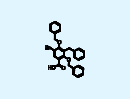 O=C(O)c1cc(Br)c(OCc2ccccc2)c(Cc2ccccc2)c1OCc1ccccc1